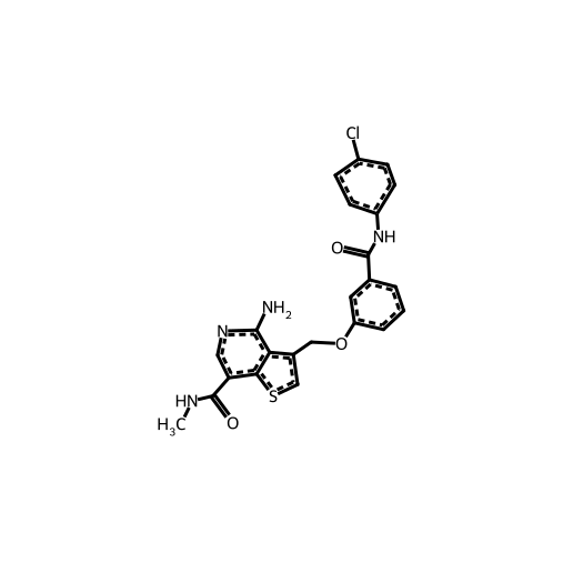 CNC(=O)c1cnc(N)c2c(COc3cccc(C(=O)Nc4ccc(Cl)cc4)c3)csc12